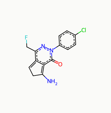 NC1=c2c(c(CF)nn(-c3ccc(Cl)cc3)c2=O)=CC1